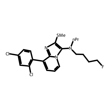 CCCN(CCCCF)c1c(SC)nc2c(-c3ccc(Cl)cc3Cl)cccn12